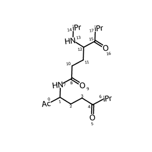 CC(=O)C(CCC(=O)C(C)C)NC(=O)CCC(NC(C)C)C(=O)C(C)C